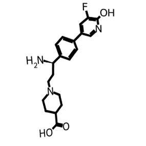 N[C@H](CCN1CCC(C(=O)O)CC1)c1ccc(-c2cnc(O)c(F)c2)cc1